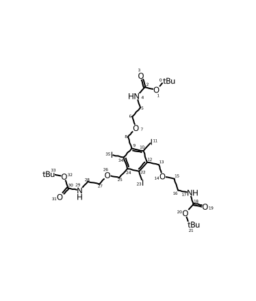 CC(C)(C)OC(=O)NCCOCc1c(I)c(COCCNC(=O)OC(C)(C)C)c(I)c(COCCNC(=O)OC(C)(C)C)c1I